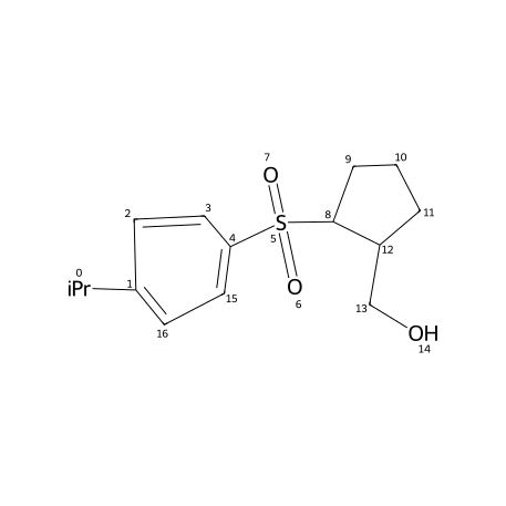 CC(C)c1ccc(S(=O)(=O)C2CCCC2CO)cc1